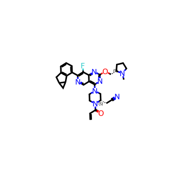 C=CC(=O)N1CCN(c2nc(OC[C@@H]3CCCN3C)nc3c(F)c(-c4cccc5c4C4CC4C5)ncc23)C[C@@H]1CC#N